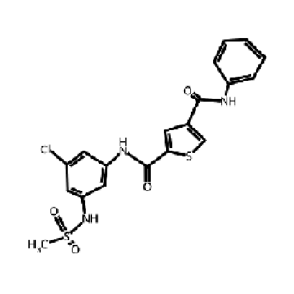 CS(=O)(=O)Nc1cc(Cl)cc(NC(=O)c2cc(C(=O)Nc3ccccc3)cs2)c1